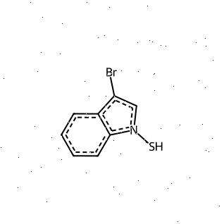 Sn1cc(Br)c2ccccc21